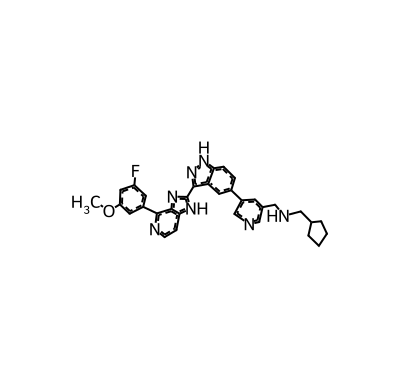 COc1cc(F)cc(-c2nccc3[nH]c(-c4n[nH]c5ccc(-c6cncc(CNCC7CCCC7)c6)cc45)nc23)c1